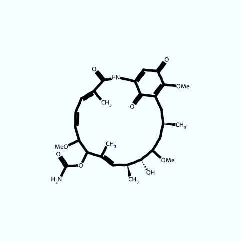 COC1=C2C[C@@H](C)CC(OC)[C@H](O)[C@@H](C)/C=C(\C)C(OC(N)=O)C(OC)/C=C\C=C(/C)C(=O)NC(=CC1=O)C2=O